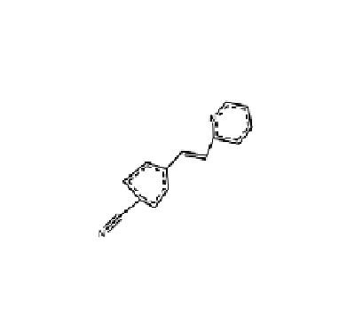 N#Cc1ccc(C=Cc2ccccn2)cc1